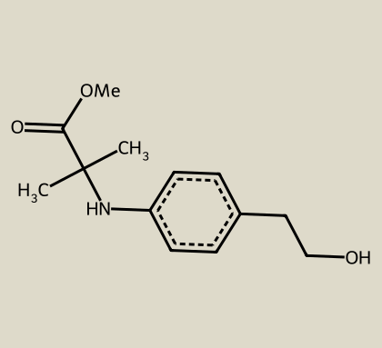 COC(=O)C(C)(C)Nc1ccc(CCO)cc1